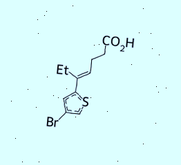 CC/C(=C\CCC(=O)O)c1cc(Br)cs1